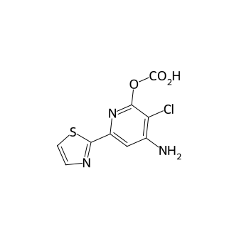 Nc1cc(-c2nccs2)nc(OC(=O)O)c1Cl